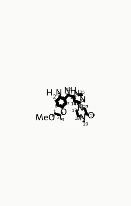 COC[C@H](C)Oc1ccc(N)c(C(=N)c2cc(N3CCN(C)C(=O)C3)ncn2)c1